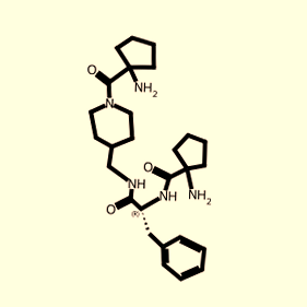 NC1(C(=O)N[C@H](Cc2ccccc2)C(=O)NCC2CCN(C(=O)C3(N)CCCC3)CC2)CCCC1